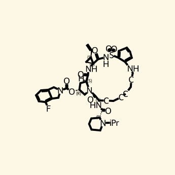 C=C[C@@H]1C[C@@]12NC(=O)[C@@H]1C[C@@H](OC(=O)N3Cc4cccc(F)c4C3)CN1C(=O)[C@@H](NC(=O)[C@H]1CCCCN1C(C)C)CCCCCCCNc1ccccc1S(=O)(=O)NC2=O